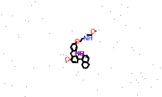 COCCNCCOc1ccc(Cc2c(OC)ccc(-c3c(O)ccc4c3CCCC4)c2N)cc1